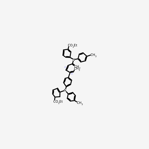 C=C(/C=C\C(=C/C)c1ccc(N(C2=CC=CC(C(=O)OCC)C2)c2ccc(C)cc2)cc1)N(c1ccc(C)cc1)c1cccc(C(=O)OCC)c1